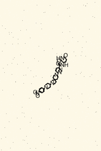 O=C1CCC(NC(=O)c2ccc(N3CCC4(CC3)CCN(C3CCN(c5ccc([N+](=O)[O-])cc5)CC3)C4)nn2)C(=O)N1